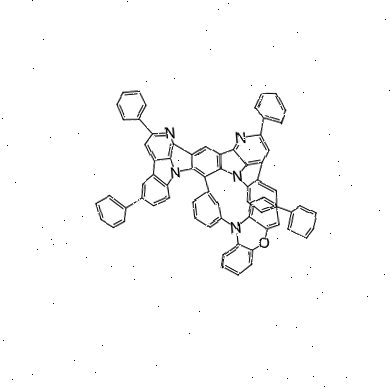 c1ccc(-c2ccc3c(c2)c2cc(-c4ccccc4)nc4c5cc6c7nc(-c8ccccc8)cc8c9cc(-c%10ccccc%10)ccc9n(c6c(-c6cccc(N9c%10ccccc%10Oc%10ccccc%109)c6)c5n3c24)c87)cc1